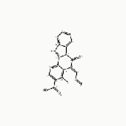 C=C/C=c1/c(=O)n2c3ccccc3nc2c2ccc(C(=O)O)c(C)c12